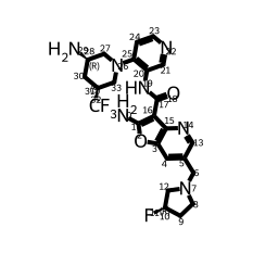 Nc1oc2cc(CN3CC[C@@H](F)C3)cnc2c1C(=O)Nc1cnccc1N1C[C@H](N)C[C@H](C(F)(F)F)C1